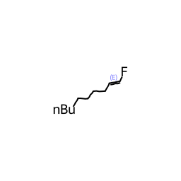 CCCCCCCC/C=C/F